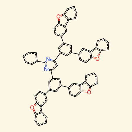 c1ccc(-c2nc(-c3cc(-c4ccc5oc6ccccc6c5c4)cc(-c4ccc5oc6ccccc6c5c4)c3)cc(-c3cc(-c4ccc5oc6ccccc6c5c4)cc(-c4ccc5oc6ccccc6c5c4)c3)n2)cc1